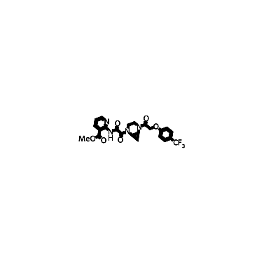 COC(=O)c1cccnc1NC(=O)C(=O)N1CCN(C(=O)COc2ccc(C(F)(F)F)cc2)C2CC21